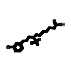 CS(=O)(=O)N(CCCCCCC(=O)O)CCCc1cccc(Cl)c1